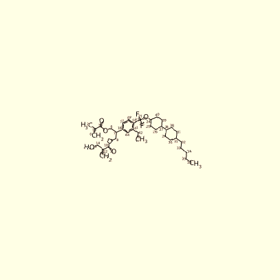 C=C(C)C(=O)OCC(COC(=O)C(=C)CO)c1ccc(C(F)(F)OC2CCC(C3CCC(CCCCC)CC3)CC2)c(CC)c1